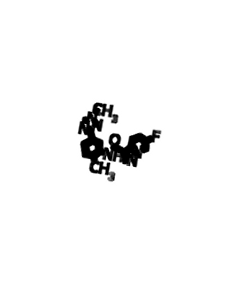 Cc1ccc(-c2ncn(C)n2)cc1NC(=O)c1cnn2cc(F)ccc12